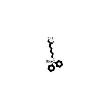 CC(C)(C)[Si](OCCCCC=C(F)CO)(c1ccccc1)c1ccccc1